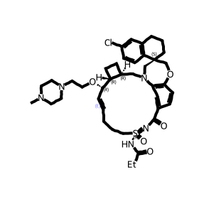 CCC(=O)N[S@@]1(=O)=NC(=O)c2ccc3c(c2)N(C[C@@H]2CC[C@H]2[C@@H](OCCN2CCN(C)CC2)/C=C/CCC1)C[C@@]1(CCCc2cc(Cl)ccc21)CO3